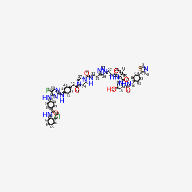 Cc1ncsc1-c1ccc(CNC(=O)[C@@H]2C[C@@H](O)CN2C(=O)[C@@H](NC(=O)CCn2cc(CCNC(=O)N3CCN(C(=O)Cc4ccc(Nc5ncc(F)c(Nc6ccc(C(=O)Nc7ccccc7Cl)cc6)n5)cc4)CC3)nn2)C(C)(C)C)cc1